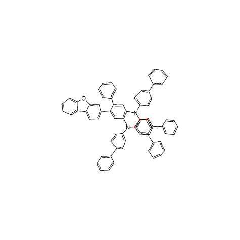 c1ccc(-c2ccc(N(c3ccc(-c4ccccc4)cc3)c3cc(-c4ccccc4)c(-c4ccc5c(c4)oc4ccccc45)cc3N(c3ccc(-c4ccccc4)cc3)c3ccc(-c4ccccc4)cc3)cc2)cc1